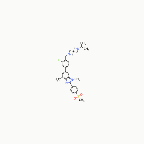 Cc1cc(-c2ccc(CN3CC4(C3)CN(C(C)C)C4)c(F)c2)cc2c1nc(-c1ccc(S(C)(=O)=O)cc1)n2C